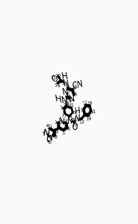 Cn1cc(-c2ccc(N(C(=O)NCc3ccccc3)C3CCC(Nc4ncc(C#N)c(NC5COC5)n4)CC3)nc2)cn1